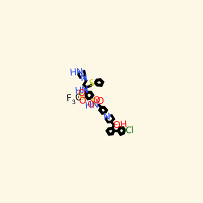 O=C(NS(=O)(=O)c1ccc(NC(CCN2CCNCC2)CSc2ccccc2)c(S(=O)(=O)C(F)(F)F)c1)c1ccc(N2CCC([C@H](O)c3ccccc3-c3ccc(Cl)cc3)CC2)cc1